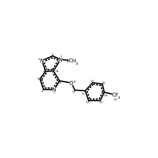 Cn1cnc2ccnc(OCc3ccc(C(F)(F)F)cc3)c21